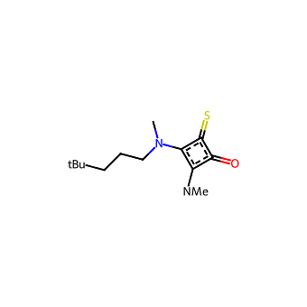 CNc1c(N(C)CCCC(C)(C)C)c(=S)c1=O